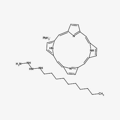 C1=Cc2cc3ccc(cc4nc(cc5ccc(cc1n2)[nH]5)C=C4)[nH]3.CCCCCCCCCCNNNN.[PbH2]